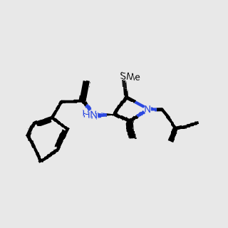 C=C(C)CN1C(=C)[C@@H](NC(=C)CC2=CCCC=C2)C1SC